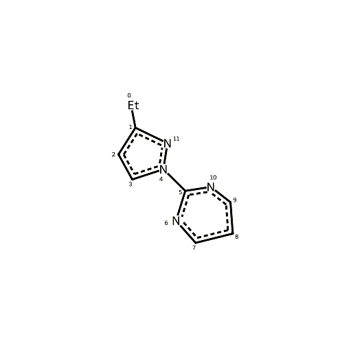 CCc1ccn(-c2ncccn2)n1